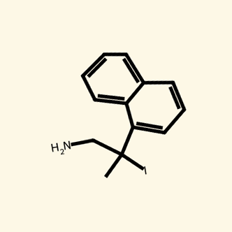 CC(I)(CN)c1cccc2ccccc12